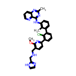 COc1nc(-c2cccc(-c3cccc(Nc4nc(C)nc5cccnc45)c3C)c2Cl)ccc1CNCc1ncc[nH]1